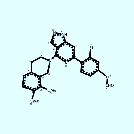 CCc1cc(OC=O)ccc1-c1cc2[nH]ncc2c(N2CCc3ccc(OC)c(OC)c3C2)n1